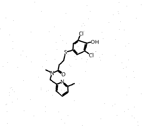 Cc1cccc(CN(C)C(=O)CCSc2cc(Cl)c(O)c(Cl)c2)n1